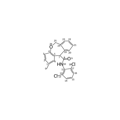 Cc1ccc2c(c1)C(C(=O)Nc1c(Cl)cccc1Cl)c1ccccc1CO2